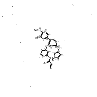 C=CC(=O)Nc1cccc(Nc2nc(Nc3cnn(C)c3)ncc2-c2cnc(OC)c(F)c2)c1